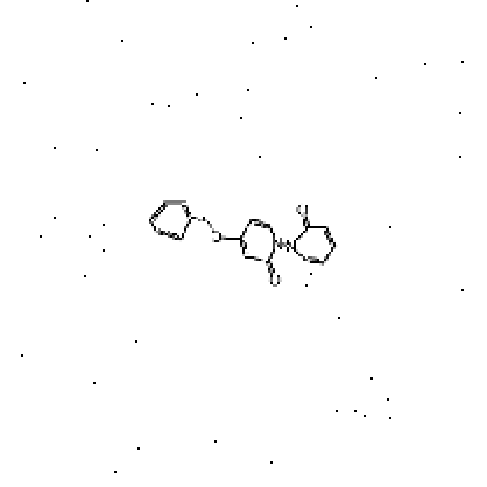 O=c1ccccn1-n1ccc(OCc2ccccc2)cc1=O